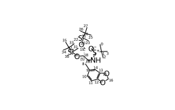 CC(C)(C)[S+]([O-])N[C@H](Cc1ccc2c(c1)OCO2)[C@@H](CO[Si](C)(C)C(C)(C)C)O[Si](C)(C)C(C)(C)C